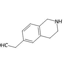 O=CCc1ccc2c(c1)CCNC2